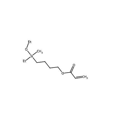 C=CC(=O)OCCCC[Si](C)(CC)OCC